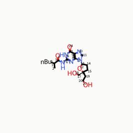 CCCCC(C)C(=O)Nc1nc2c(ncn2[C@H]2CC[C@](CO)(CCO)O2)c(=O)[nH]1